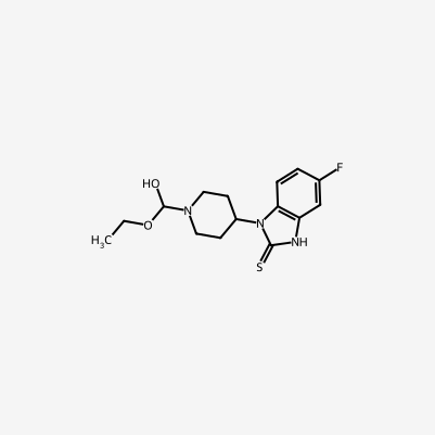 CCOC(O)N1CCC(n2c(=S)[nH]c3cc(F)ccc32)CC1